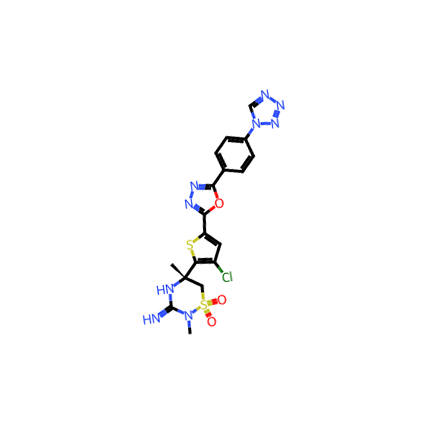 CN1C(=N)N[C@](C)(c2sc(-c3nnc(-c4ccc(-n5cnnn5)cc4)o3)cc2Cl)CS1(=O)=O